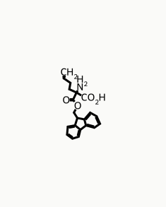 C=CCCC(N)(C(=O)O)C(=O)OCC1c2ccccc2-c2ccccc21